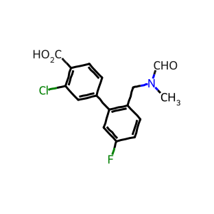 CN(C=O)Cc1ccc(F)cc1-c1ccc(C(=O)O)c(Cl)c1